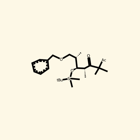 CC(=O)C(C)(C)C(=O)[C@H](C)[C@@H](O[Si](C)(C)C(C)(C)C)[C@@H](C)COCc1ccccc1